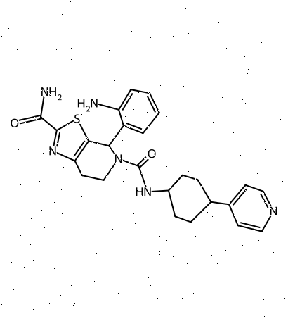 NC(=O)c1nc2c(s1)C(c1ccccc1N)N(C(=O)NC1CCC(c3ccncc3)CC1)CC2